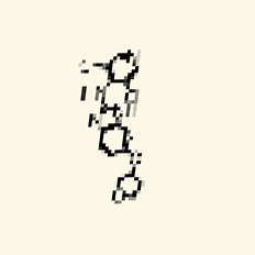 Clc1cncc(Cl)c1Nc1nc2ccc(OC3CCOC3)nc2[nH]1